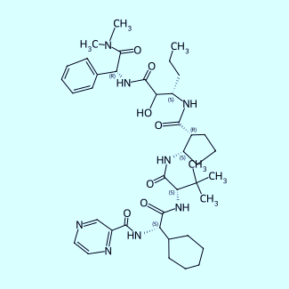 CCC[C@H](NC(=O)[C@@H]1CCC[C@@H]1NC(=O)[C@@H](NC(=O)[C@@H](NC(=O)c1cnccn1)C1CCCCC1)C(C)(C)C)C(O)C(=O)N[C@@H](C(=O)N(C)C)c1ccccc1